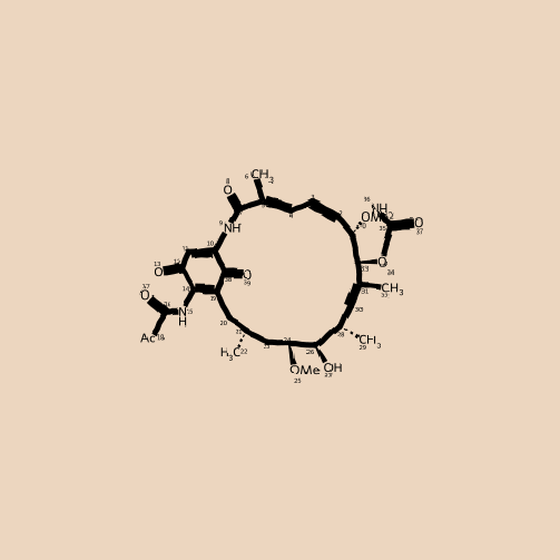 CO[C@H]1/C=C\C=C(/C)C(=O)NC2=CC(=O)C(NC(=O)C(C)=O)=C(C[C@@H](C)C[C@H](OC)[C@H](O)[C@@H](C)/C=C(\C)[C@@H]1OC(N)=O)C2=O